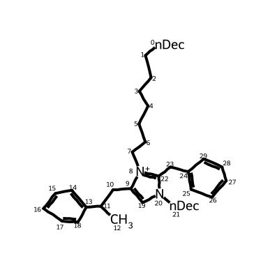 CCCCCCCCCCCCCCCCC[n+]1c(CC(C)c2ccccc2)cn(CCCCCCCCCC)c1Cc1ccccc1